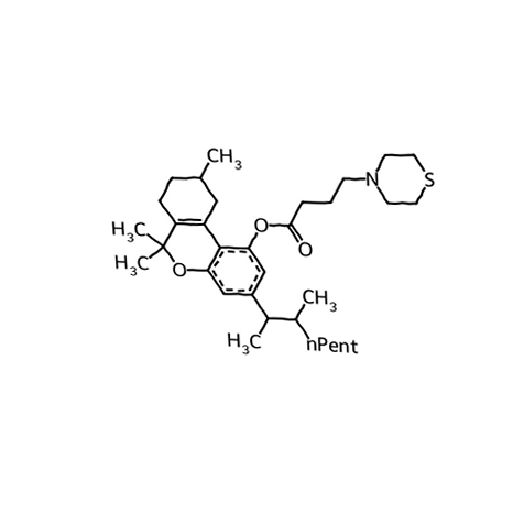 CCCCCC(C)C(C)c1cc(OC(=O)CCCN2CCSCC2)c2c(c1)OC(C)(C)C1=C2CC(C)CC1